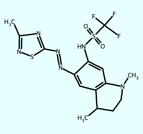 Cc1nsc(N=Nc2cc3c(cc2NS(=O)(=O)C(F)(F)F)N(C)CCC3C)n1